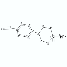 C#Cc1ccc(C2CC[SiH](CCC)CC2)cc1